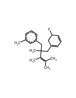 CC(C)=C(C)C(C)(CC1=CC=CC(F)C1)Cc1cccc(C)c1